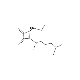 CCNc1c(N(C)CCCC(C)C)c(=O)c1=S